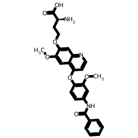 COc1cc2c(Oc3ccc(NC(=O)c4ccccc4)cc3OC)ccnc2cc1OCC[C@H](N)C(=O)O